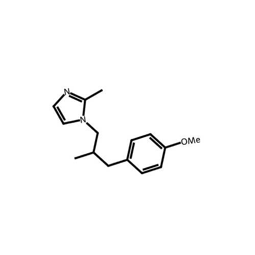 COc1ccc(CC(C)Cn2ccnc2C)cc1